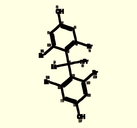 CCCC(CC)(c1c(Br)cc(O)cc1Br)c1c(Br)cc(O)cc1Br